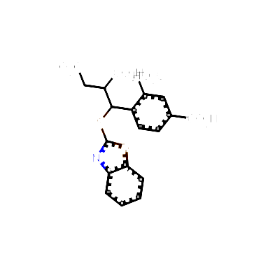 O=C(O)CC(C(=O)O)C(Sc1nc2ccccc2s1)c1ccc(C(=O)O)cc1C(=O)O